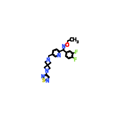 CCO/N=C(\c1ccc(F)c(F)c1)c1ccc(CN2CC3(C2)CN(c2cnsn2)C3)cn1